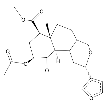 COC(=O)[C@@H]1C[C@H](OC(C)=O)C(=O)[C@@H]2C3C[C@@H](c4ccoc4)OCC3CC[C@]21C